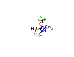 Cc1nn(C)c(OCC(F)(F)F)c1C